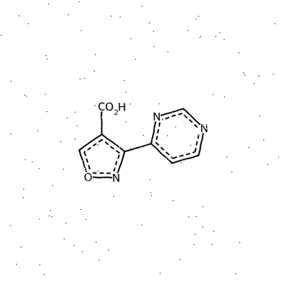 O=C(O)c1conc1-c1ccncn1